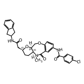 CN1C(=O)c2cc(NC(=O)c3ccc(Cl)cc3)ccc2OC[C@@H]2O[C@H](CC(=O)NC3Cc4ccccc4C3)CC[C@@H]21